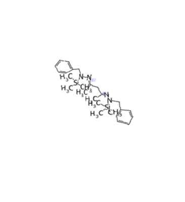 C/C(C/C(C)=N/N(Cc1ccccc1)[Si](C)(C)C)=N\N(Cc1ccccc1)[Si](C)(C)C